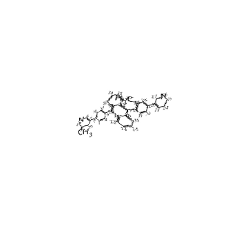 Cc1cncc(-c2ccc(-c3c4ccccc4c(-c4ccc(-c5cccnc5)cc4C)c4ccccc34)cc2)c1